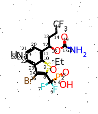 CCOP(=O)(O)C(F)(F)c1sc2c(C(CCC(F)(F)F)OC(N)=O)cccc2c1Br.[H-].[Na+]